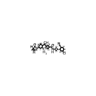 Cc1cc(N2C[C@H]3C[C@H]3C2=O)nnc1[C@@H](C)n1cc(C(=O)N[C@H]2C[C@@H](c3cc(Cl)ccc3C#N)C2)cn1